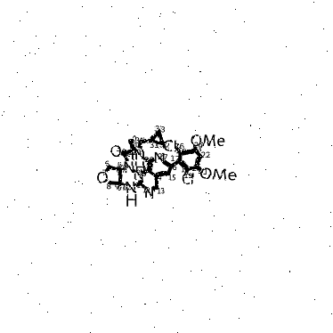 C=CC(=O)N[C@@H]1COC[C@@H]1Nc1ncc2cc(-c3c(Cl)c(OC)cc(OC)c3Cl)nc(NCC3CC3)c2n1